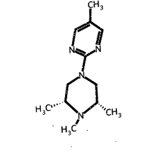 Cc1cnc(N2C[C@@H](C)N(C)[C@@H](C)C2)nc1